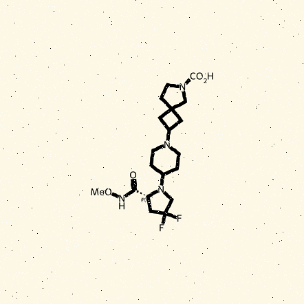 CONC(=O)[C@H]1CC(F)(F)CN1C1CCN(C2CC3(CCN(C(=O)O)C3)C2)CC1